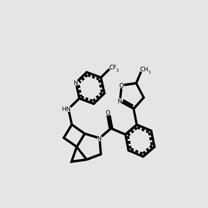 CC1CC(c2ccccc2C(=O)N2CC3CC34CC(Nc3ccc(C(F)(F)F)cn3)C24)=NO1